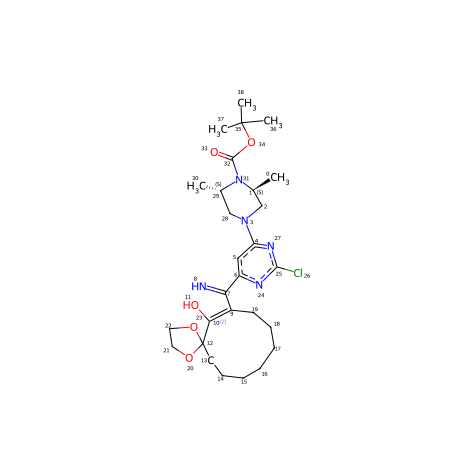 C[C@H]1CN(c2cc(C(=N)/C3=C(\O)C4(CCCCCCC3)OCCO4)nc(Cl)n2)C[C@H](C)N1C(=O)OC(C)(C)C